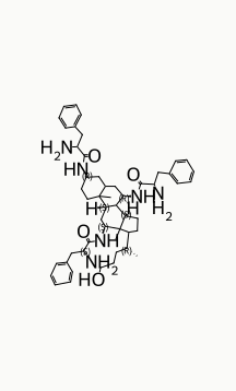 C[C@H](CCCO)C1CC[C@H]2C3[C@H](NC(=O)C(N)Cc4ccccc4)CC4C[C@H](NC(=O)C(N)Cc5ccccc5)CCC4(C)[C@H]3C[C@H](NC(=O)[C@@H](N)Cc3ccccc3)C12C